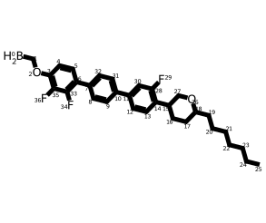 BCOc1ccc(-c2ccc(-c3ccc(C4CCC(CCCCCCC)OC4)c(F)c3)cc2)c(F)c1F